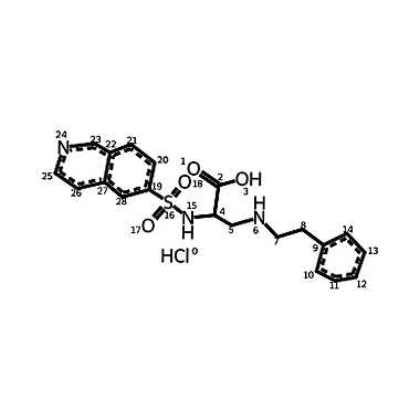 Cl.O=C(O)C(CNCCc1ccccc1)NS(=O)(=O)c1ccc2cnccc2c1